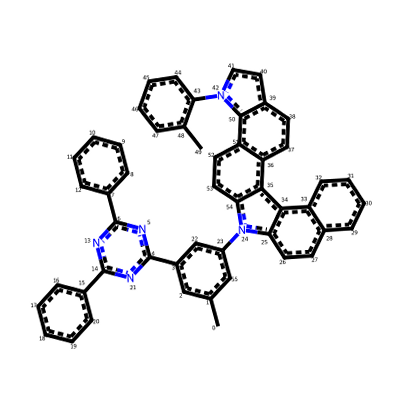 Cc1cc(-c2nc(-c3ccccc3)nc(-c3ccccc3)n2)cc(-n2c3ccc4ccccc4c3c3c4ccc5ccn(-c6ccccc6C)c5c4ccc32)c1